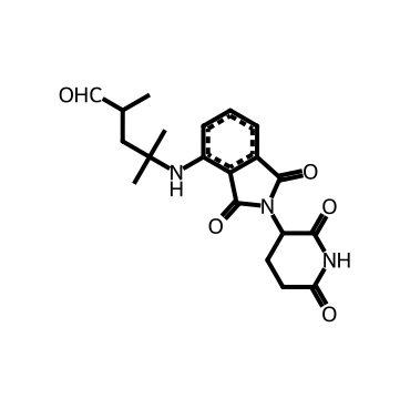 CC(C=O)CC(C)(C)Nc1cccc2c1C(=O)N(C1CCC(=O)NC1=O)C2=O